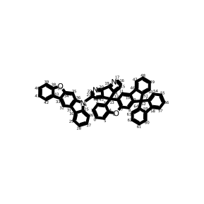 c1ccc2c(c1)Oc1cc3c(cc1C21c2cccnc2-c2ncc(-n4c5ccccc5c5cc6c(cc54)oc4ccccc46)cc21)-c1ccccc1C31c2ccccc2-c2ccccc21